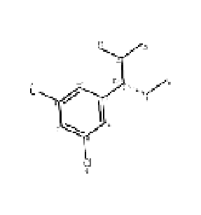 CC[C@H](c1cc(Cl)cc(Cl)c1)C(C)C